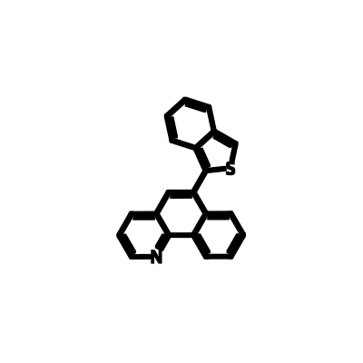 c1ccc2c(-c3cc4cccnc4c4ccccc34)scc2c1